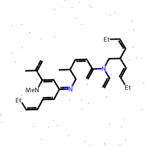 C=CN(CC(/C=C\CC)/C=C/CC)C(=C)/C=C\C(C)C/N=C(\C=C(/NC)C(=C)C)/C=C/C=C\CC